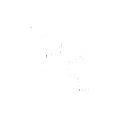 O=C(O)c1nnc(-c2ccc(F)cc2F)s1